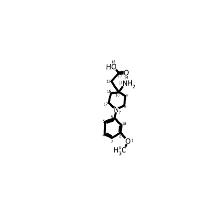 COc1cccc(N2CCC(N)(CC(=O)O)CC2)c1